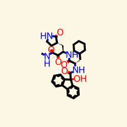 CNC(=O)C(=O)[C@@H](C[C@@H]1CCNC1=O)NC(=O)[C@H](CC1CCCCC1)NC(=O)C1(O)c2ccccc2-c2ccccc21